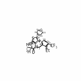 [2H]C([2H])(C)C(=O)N(Cc1cccc(C(F)(F)F)c1CC)c1nc(N2CCOCC2)sc1C#N